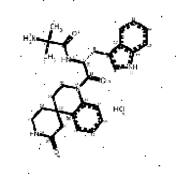 CC(C)(N)C(=O)N[C@H](Cc1c[nH]c2ccccc12)C(=O)N1CCC2(CCNC(=O)C2)c2ccccc21.Cl